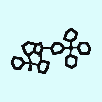 O=P1(c2ccccc2)c2ccccc2-n2c(-c3ccc([Si](c4ccccc4)(c4ccccc4)c4ccccc4)cc3)nc3cccc1c32